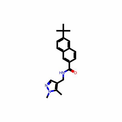 Cc1c(CNC(=O)c2ccc3cc(C(C)(C)C)ccc3c2)cnn1C